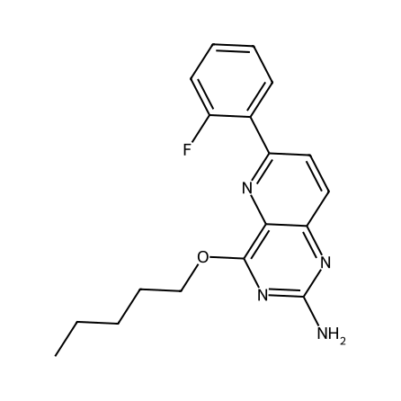 CCCCCOc1nc(N)nc2ccc(-c3ccccc3F)nc12